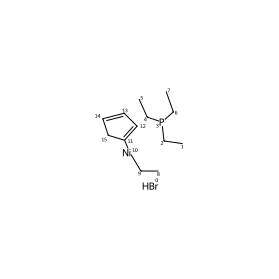 Br.CCP(CC)CC.C[CH2][Ni][C]1=CC=CC1